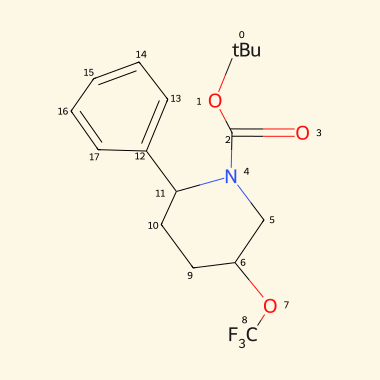 CC(C)(C)OC(=O)N1CC(OC(F)(F)F)CCC1c1ccccc1